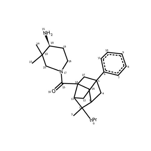 CCCC1(C)C2CC3(c4ccccc4)CC1C(C(=O)N1CC[C@H](N)C(C)(C)C1)(C2)C3